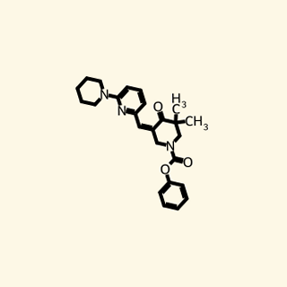 CC1(C)CN(C(=O)Oc2ccccc2)CC(=Cc2cccc(N3CCCCC3)n2)C1=O